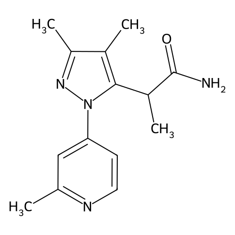 Cc1cc(-n2nc(C)c(C)c2C(C)C(N)=O)ccn1